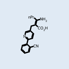 CCC/C(N)=C(\Cc1ccc(-c2ccccc2C#N)nc1)C(=O)O